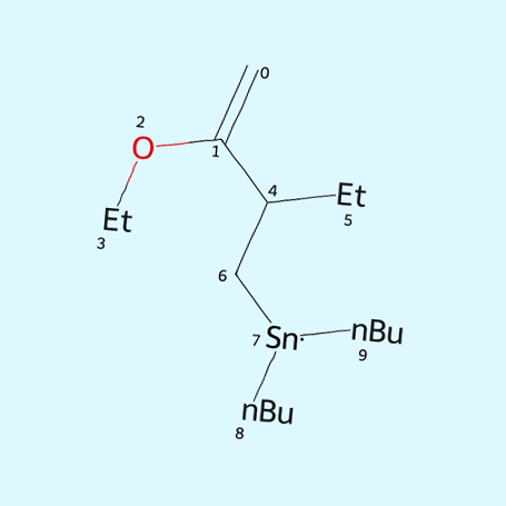 C=C(OCC)C(CC)[CH2][Sn]([CH2]CCC)[CH2]CCC